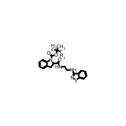 CC(C)(C)OC(=O)N1c2ccccc2CC1C(=O)NCCNc1nsc2ccccc12